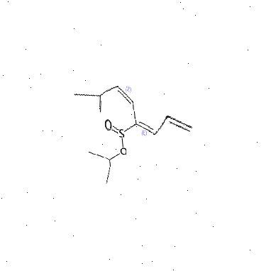 C=C/C=C(\C=C/C(C)C)S(=O)OC(C)C